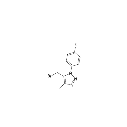 Cc1nnn(-c2ccc(F)cc2)c1CBr